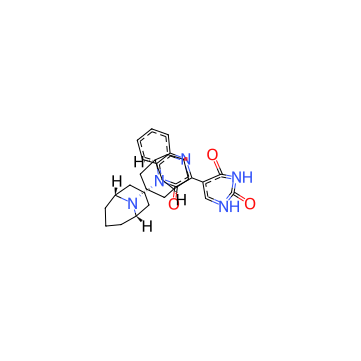 O=c1[nH]cc(-c2nc3ccccc3n([C@H]3C[C@H]4CCC[C@@H](C3)N4[C@H]3C[C@@H]4CCC[C@@H](C4)C3)c2=O)c(=O)[nH]1